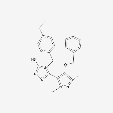 CCn1nc(C)c(OCc2ccccc2)c1-c1nnc(S)n1Cc1ccc(OC)cc1